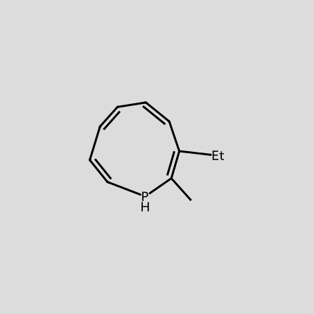 CCc1cccccc[pH]c1C